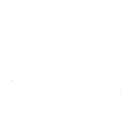 CCCCCCCCCCCCCCN(CCCCCCCCCCCCCC)c1ccc(/C=C/c2cc[n+](CCCC)cc2)cc1